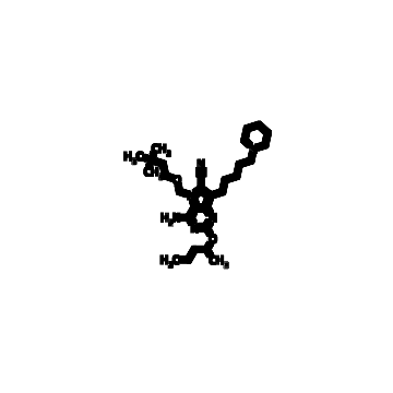 CCCC(C)Oc1nc(N)c2c(n1)c(CCCCCN1CCCCC1)c(C#N)n2COCC[Si](C)(C)C